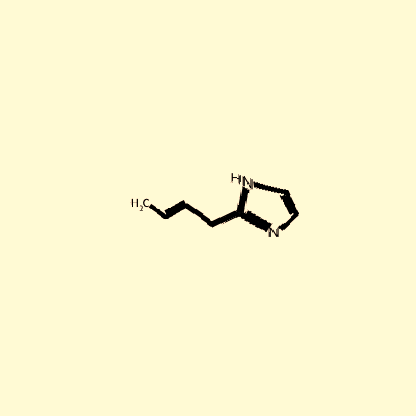 [CH2]C=CCc1ncc[nH]1